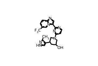 Cc1n[nH]cc1C1CC(O)CN(c2ccnc(-c3cnc4ccc(C(F)(F)F)cn34)n2)C1